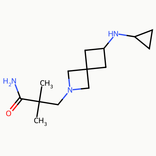 CC(C)(CN1CC2(CC(NC3CC3)C2)C1)C(N)=O